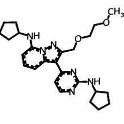 COCCOCc1nn2c(NC3CCCC3)cccc2c1-c1ccnc(NC2CCCC2)n1